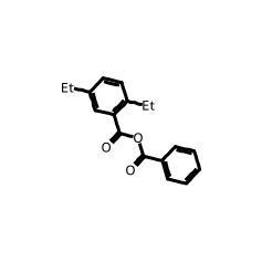 CCc1ccc(CC)c(C(=O)OC(=O)c2ccccc2)c1